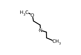 CCC[N]CCOC